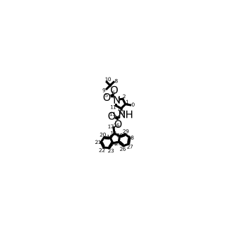 CC1CN(C(=O)OC(C)(C)C)CC1NC(=O)OCC1c2ccccc2-c2ccccc21